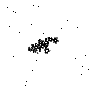 CC(C)CC(C(N)=O)N(C)C(=O)[C@@H](C)NC(=O)C[C@H](NC(=O)[C@H](CC(C)C)N(C)C(=O)[C@@H](N)CCc1ccccc1)C(=O)N1CCCCC1